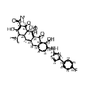 CN(C)C1C(O)=C(C(N)=O)C(=O)C2(O)C(O)=C3C(=O)c4c(ccc(Nc5nc(-c6ccc(F)cc6)cs5)c4O)CC3CC12